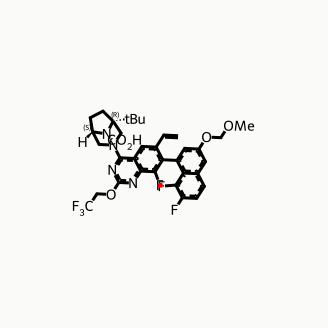 C=Cc1cc2c(N3C[C@@H]4CC[C@@](C(C)(C)C)(C3)N4C(=O)O)nc(OCC(F)(F)F)nc2c(F)c1-c1cc(OCOC)cc2ccc(F)c(F)c12